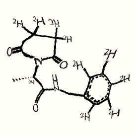 [2H]c1c([2H])c([2H])c(CNC(=O)[C@H](C)N2C(=O)C([2H])([2H])C([2H])([2H])C2=O)c([2H])c1[2H]